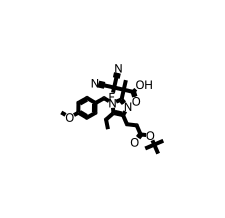 CCc1c(CCC(=O)OC(C)(C)C)nc(C(C)(C(=O)O)C(F)(C#N)C#N)n1Cc1ccc(OC)cc1